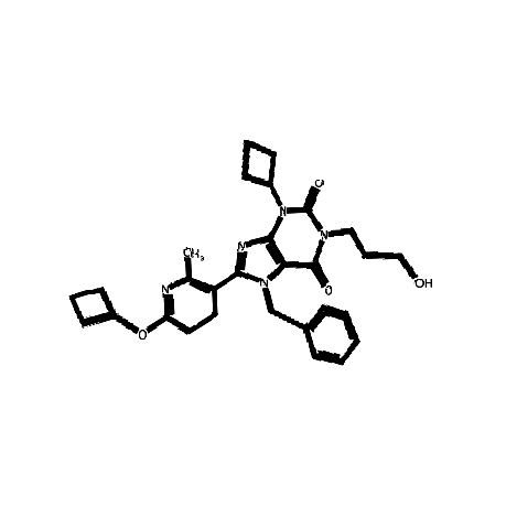 CC1=C(c2nc3c(c(=O)n(CCCO)c(=O)n3C3CCC3)n2CC2=C=C=CC=C2)CCC(OC2CCC2)=N1